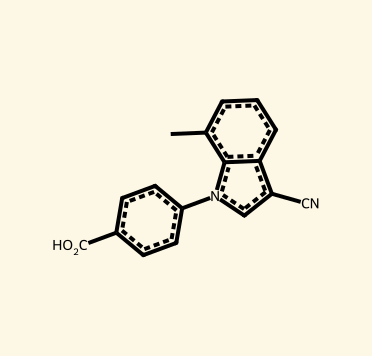 Cc1cccc2c(C#N)cn(-c3ccc(C(=O)O)cc3)c12